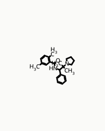 Cc1ccc(C)c(C(=O)NC(c2ccccc2)C(C)(C)N2CCCC2)c1